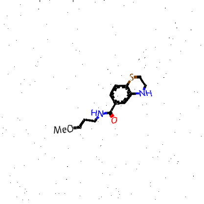 COCCCNC(=O)c1ccc2c(c1)NCCS2